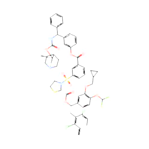 C=C/C(Cl)=C(C[C@H](OC(=O)[C@@H]1SCCN1S(=O)(=O)c1cccc(C(=O)Oc2cccc(C(NC(=O)O[C@H]3CN4CCC3CC4)c3ccccc3)c2)c1)c1ccc(OC(F)F)c(OCC2CC2)c1)\C(Cl)=C/C